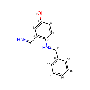 N=Cc1cc(O)ccc1NCc1ccccc1